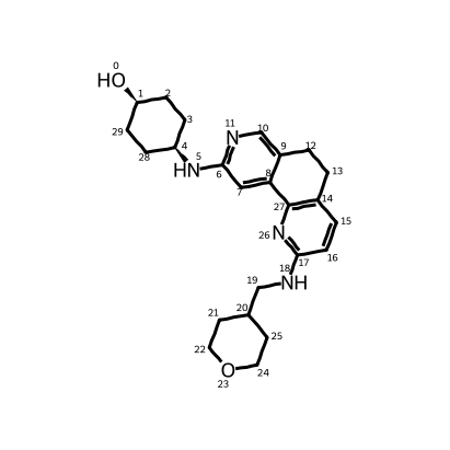 O[C@H]1CC[C@@H](Nc2cc3c(cn2)CCc2ccc(NCC4CCOCC4)nc2-3)CC1